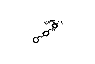 Cc1ccc(NCc2ccc(OCC3CCCCC3)cc2)cc1/N=C\N